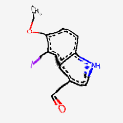 COc1ccc2[nH]cc(C=O)c2c1I